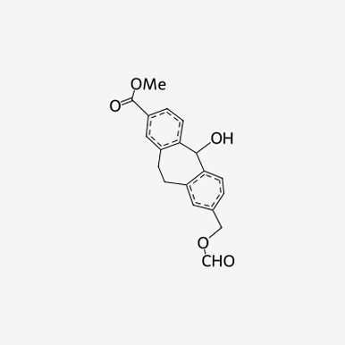 COC(=O)c1ccc2c(c1)CCc1cc(COC=O)ccc1C2O